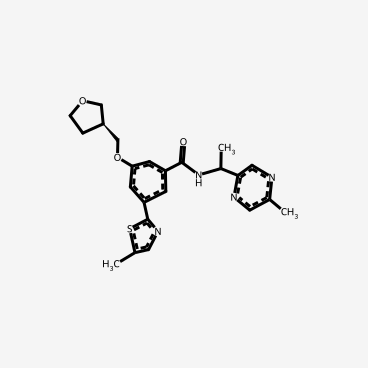 Cc1cnc(C(C)NC(=O)c2cc(OC[C@H]3CCOC3)cc(-c3ncc(C)s3)c2)cn1